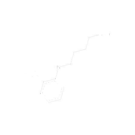 CCCCCCCCCCCCNc1ccccc1C(=O)O